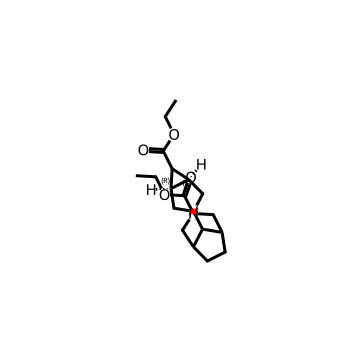 CCOC(=O)C1[C@H]2CN(C3C4CCC3CN(C(=O)OCC)C4)C[C@@H]12